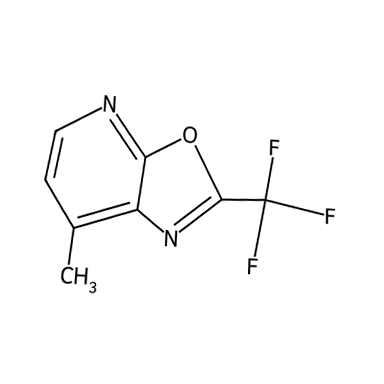 Cc1ccnc2oc(C(F)(F)F)nc12